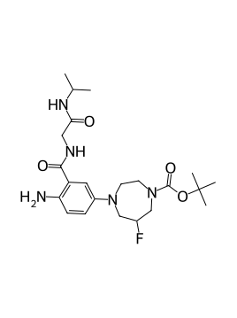 CC(C)NC(=O)CNC(=O)c1cc(N2CCN(C(=O)OC(C)(C)C)CC(F)C2)ccc1N